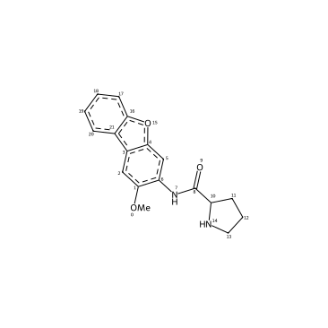 COc1cc2c(cc1NC(=O)C1CCCN1)oc1ccccc12